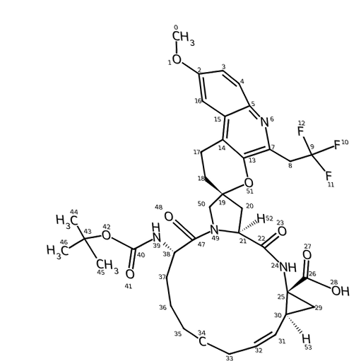 COc1ccc2nc(CC(F)(F)F)c3c(c2c1)CC[C@]1(C[C@H]2C(=O)N[C@]4(C(=O)O)C[C@H]4/C=C\CCCCC[C@H](NC(=O)OC(C)(C)C)C(=O)N2C1)O3